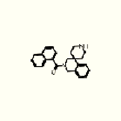 O=C(c1cccc2ccccc12)N1Cc2ccccc2C2(CCNCC2)C1